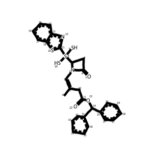 CC(=CN1C(=O)CC1S(S)(S)c1nc2ccccc2s1)CC(=O)OC(c1ccccc1)c1ccccc1